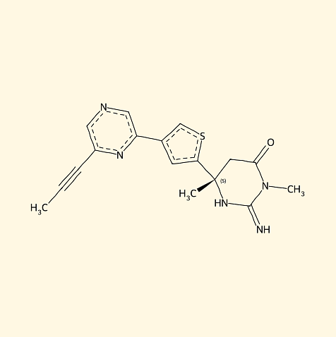 CC#Cc1cncc(-c2csc([C@]3(C)CC(=O)N(C)C(=N)N3)c2)n1